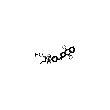 CCCN(CCO)S(=O)(=O)c1ccc(Sc2ccc3c(c2)C(=O)c2ccccc2C3=O)cc1